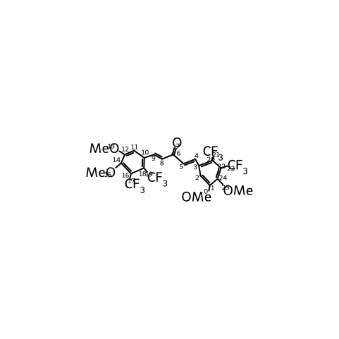 COc1cc(/C=C/C(=O)/C=C/c2cc(OC)c(OC)c(C(F)(F)F)c2C(F)(F)F)c(C(F)(F)F)c(C(F)(F)F)c1OC